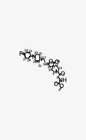 COC(=O)NCC(=O)N1CCC2(CC1)C[C@H](CCN1CCN(c3ccc(F)cc3)C[C@H]1C)OC2=O